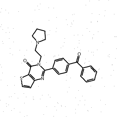 O=C(c1ccccc1)c1ccc(-c2nc3ccsc3c(=O)n2CCN2CCCC2)cc1